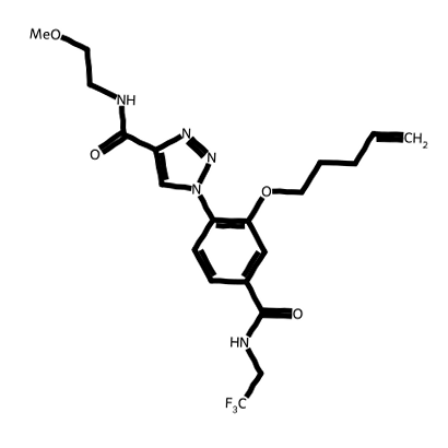 C=CCCCOc1cc(C(=O)NCC(F)(F)F)ccc1-n1cc(C(=O)NCCOC)nn1